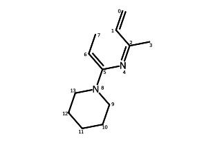 C=C/C(C)=N\C(=C/C)N1CCCCC1